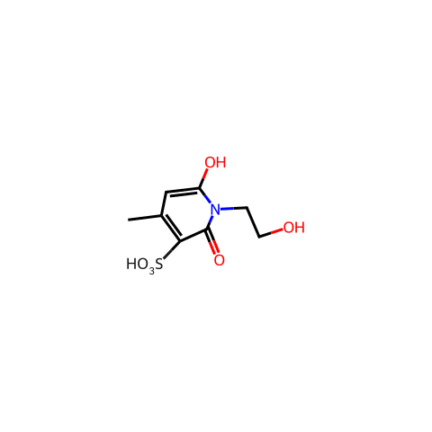 Cc1cc(O)n(CCO)c(=O)c1S(=O)(=O)O